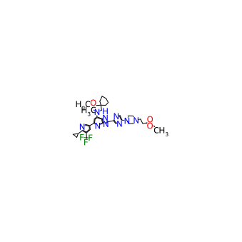 CCOC(=O)CCN1CCN(c2cnc(-c3nc4nc(-c5cnc(C6CC6)c(C(F)(F)F)c5)cc(N(C)CC5(COC)CCCCC5)c4[nH]3)cn2)CC1